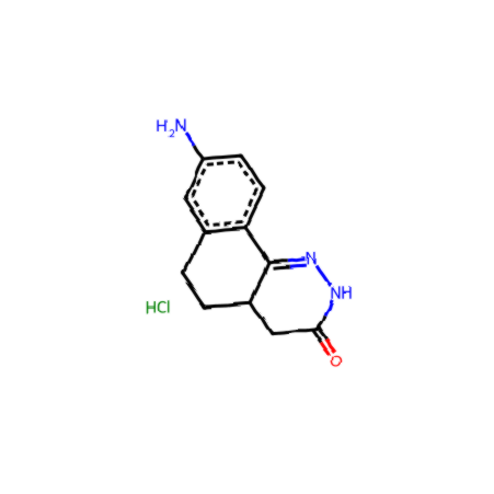 Cl.Nc1ccc2c(c1)CCC1CC(=O)NN=C21